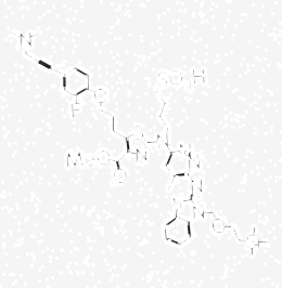 COC(=O)c1nc(N(CCCCS(=O)(=O)O)c2cc(C)c(/N=c3\sc4ccccc4n3COCC[Si](C)(C)C)nn2)sc1CCCOc1ccc(C#CCN(C)C)cc1F